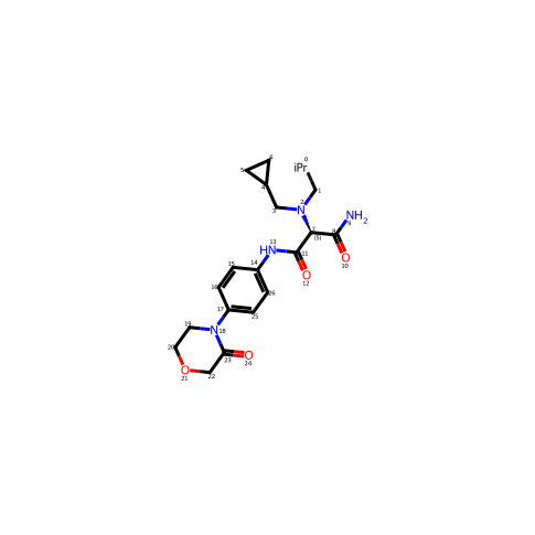 CC(C)CN(CC1CC1)[C@@H](C(N)=O)C(=O)Nc1ccc(N2CCOCC2=O)cc1